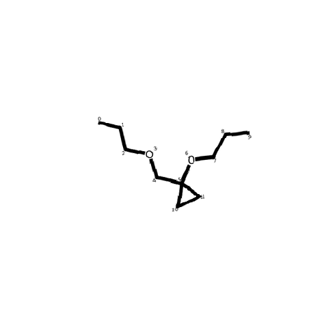 CCCOCC1(OCCC)CC1